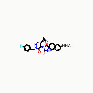 CC(=O)Nc1ccc2c(c1)CCC1(C2)NC(=O)N(C(C(=O)NCc2ccc(F)cc2)[C@@H](C)C2CC2)C1=O